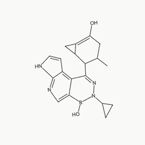 CC1CC(O)=C2CC2C1C1=NN(C2CC2)B(O)c2cnc3[nH]ccc3c21